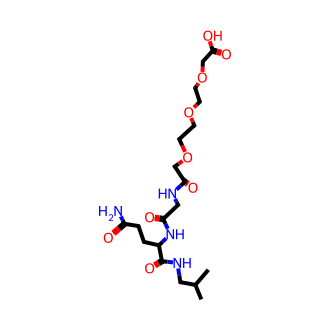 CC(C)CNC(=O)C(CCC(N)=O)NC(=O)CNC(=O)COCCOCCOCC(=O)O